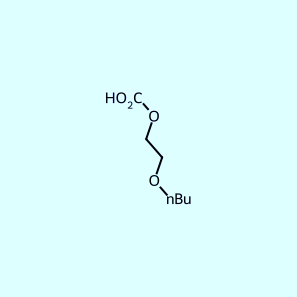 CCCCOCCOC(=O)O